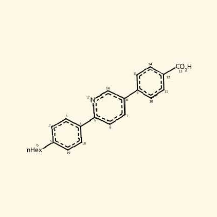 CCCCCCc1ccc(-c2ccc(-c3ccc(C(=O)O)cc3)cn2)cc1